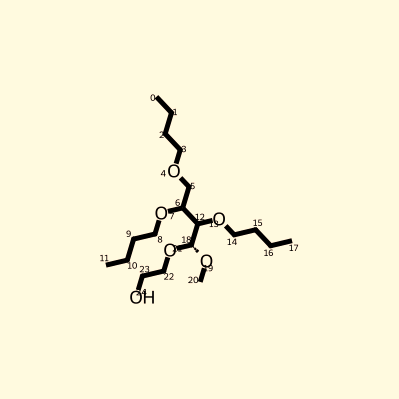 CCCCOCC(OCCCC)C(OCCCC)[C@H](OC)OCCO